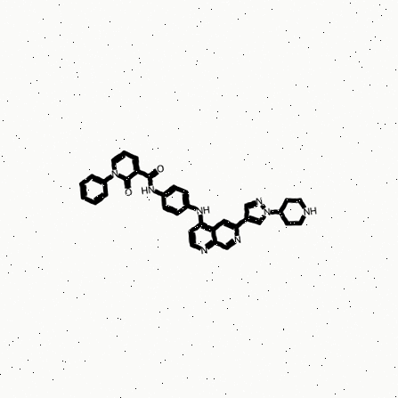 O=C(Nc1ccc(Nc2ccnc3cnc(-c4cnn(C5CCNCC5)c4)cc23)cc1)c1cccn(-c2ccccc2)c1=O